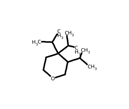 CC(C)C1COCCC1(C(C)C)C(C)C